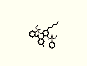 C=C(C)c1ccc(C)cc1-c1c(OP(=O)(OC)c2ccccc2)cc(CCCCC)cc1OP(=O)(OC)c1ccccc1